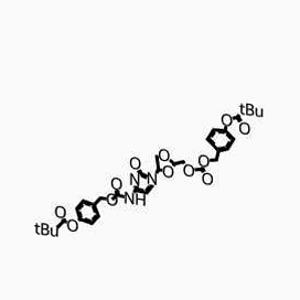 CC(C)(C)C(=O)Oc1ccc(COC(=O)Nc2ccn(C3COC(COC(=O)OCc4ccc(OC(=O)C(C)(C)C)cc4)O3)c(=O)n2)cc1